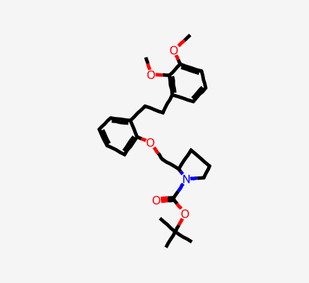 COc1cccc(CCc2ccccc2OCC2CCCN2C(=O)OC(C)(C)C)c1OC